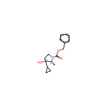 C[C@@H]1N(C(=O)OCc2ccccc2)CC[C@@]1(O)C1CC1